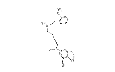 COc1ccccc1CCN(C)CCCCC(=O)c1cc(S)c2c(c1)CCO2